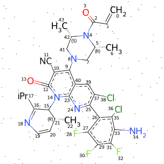 C=CC(=O)N1[C@H](C)CN(c2c(C#N)c(=O)n(C3C(C(C)C)=NC=C[C@H]3C)c3nc(-c4c(F)c(F)c(F)c(N)c4Cl)c(Cl)cc23)C[C@@H]1C